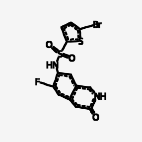 O=c1cc2cc(F)c(NS(=O)(=O)c3ccc(Br)s3)cc2c[nH]1